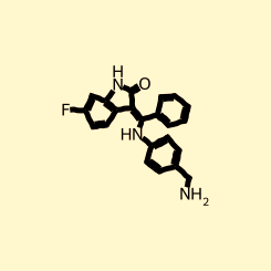 NCc1ccc(NC(=C2C(=O)Nc3cc(F)ccc32)c2ccccc2)cc1